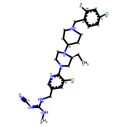 CC[C@H]1CN(c2ncc(CN/C(=N\C#N)NC)cc2Cl)CCN1C1CCN(Cc2ccc(Cl)cc2F)CC1